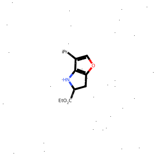 CCOC(=O)C1Cc2occ(C(C)C)c2N1